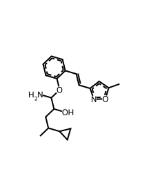 Cc1cc(C=Cc2ccccc2OC(N)C(O)CC(C)C2CC2)no1